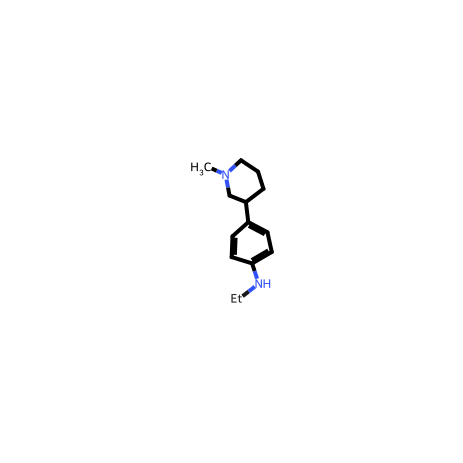 CCNc1ccc(C2CCCN(C)C2)cc1